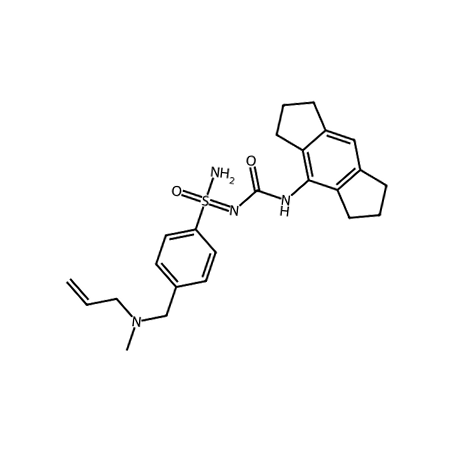 C=CCN(C)Cc1ccc(S(N)(=O)=NC(=O)Nc2c3c(cc4c2CCC4)CCC3)cc1